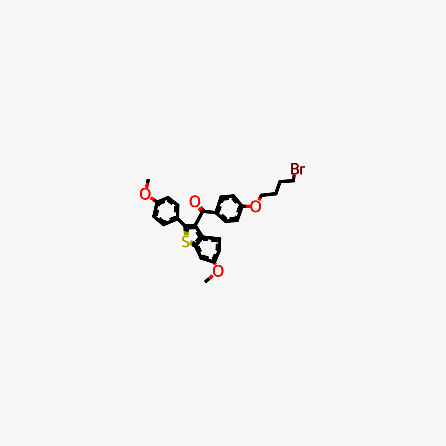 COc1ccc(-c2sc3cc(OC)ccc3c2C(=O)c2ccc(OCCCCBr)cc2)cc1